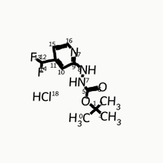 CC(C)(C)OC(=O)NNc1cc(C(F)F)ccn1.Cl